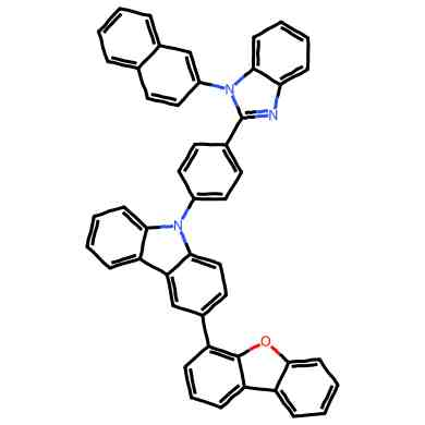 c1ccc2cc(-n3c(-c4ccc(-n5c6ccccc6c6cc(-c7cccc8c7oc7ccccc78)ccc65)cc4)nc4ccccc43)ccc2c1